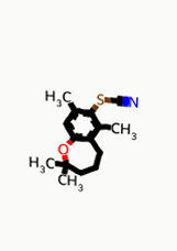 Cc1cc2c(c(C)c1SC#N)CCCC(C)(C)O2